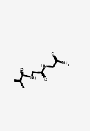 C=C(C)C(=O)NCC(=O)NCC(N)=O